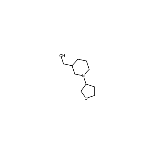 OCC1CCCN(C2CCOC2)C1